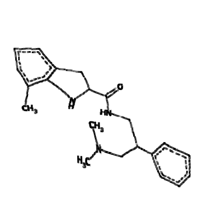 Cc1cccc2c1NC(C(=O)NCC(CN(C)C)c1ccccc1)C2